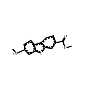 CBc1ccc2c(c1)oc1cc(C(=O)OC)ccc12